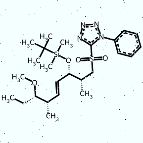 CC[C@H](OC)[C@@H](C)/C=C/[C@H](O[Si](C)(C)C(C)(C)C)[C@@H](C)CS(=O)(=O)c1nnnn1-c1ccccc1